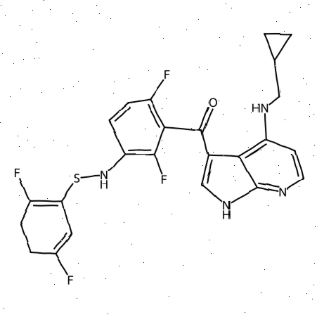 O=C(c1c(F)ccc(NSC2=C(F)CCC(F)=C2)c1F)c1c[nH]c2nccc(NCC3CC3)c12